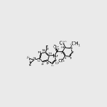 Cc1ccc(Cl)c(C(=O)n2ccc3cc(C4CC4)cc(F)c32)c1Cl